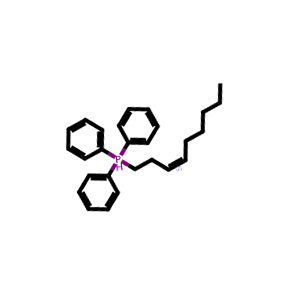 CCCCC/C=C\CC[PH](c1ccccc1)(c1ccccc1)c1ccccc1